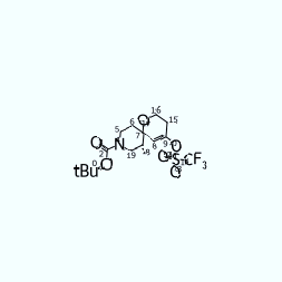 CC(C)(C)OC(=O)N1CCC2(C=C(OS(=O)(=O)C(F)(F)F)CCO2)CC1